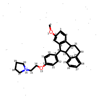 COc1ccc2c(c1)C(c1ccc(OCCN3CCCC3)cc1)C1c3ccccc3CCC21